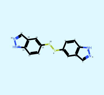 c1cc2[nH]ncc2cc1SSc1ccc2[nH]ncc2c1